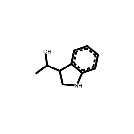 CC(O)C1CNc2ccccc21